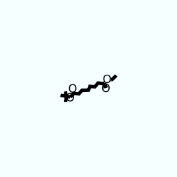 CCOC(=O)CCCCCCC(=O)OC(C)(C)C